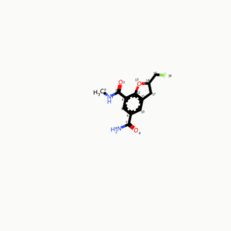 CNC(=O)c1cc(C(N)=O)cc2c1OC(CF)C2